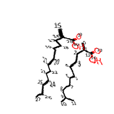 C=C(CCCCCCCC(C)C)C(=O)O.C=C(CCCCCCCCCCC)C(=O)O